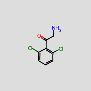 NCC(=O)c1c(Cl)cccc1Cl